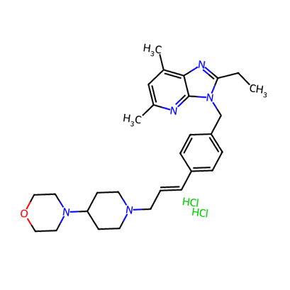 CCc1nc2c(C)cc(C)nc2n1Cc1ccc(C=CCN2CCC(N3CCOCC3)CC2)cc1.Cl.Cl